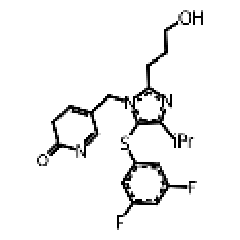 CC(C)c1nc(CCCO)n(CC2=CCC(=O)N=C2)c1Sc1cc(F)cc(F)c1